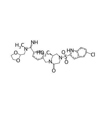 CN(CC1OCCO1)C(=N)c1ccc(CN2C(=O)CN(S(=O)(=O)c3cc4cc(Cl)ccc4[nH]3)C[C@@H]2C(=O)O)cc1